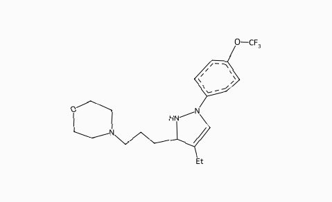 CCC1=CN(c2ccc(OC(F)(F)F)cc2)NC1CCCN1CCOCC1